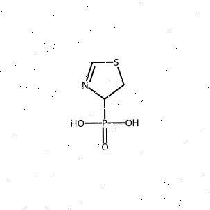 O=P(O)(O)C1CS[C]=N1